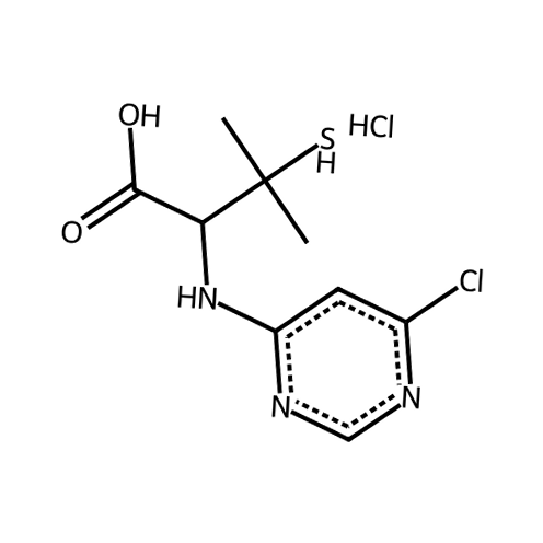 CC(C)(S)C(Nc1cc(Cl)ncn1)C(=O)O.Cl